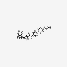 O=C(Nc1ccc(C2CCC(CCO)CC2)cc1)c1nnc(Nc2ccccc2F)o1